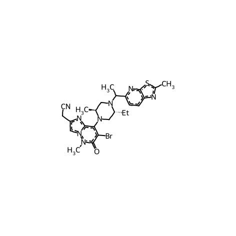 CC[C@@H]1CN(c2c(Br)c(=O)n(C)n3cc(CC#N)nc23)[C@@H](C)CN1C(C)c1ccc2nc(C)sc2n1